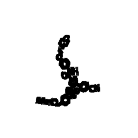 COCc1ccc(N(C)S(=O)(=O)c2cc(C(=O)Nc3ccc(OCCN4CCOCC4)cc3)sc2-c2ccc(C#N)cc2)cc1